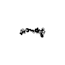 COC(=O)[C@H](Cc1ccc(OCCCC2CCN(c3nc(C(C)C)no3)CC2)cc1C)NC(=O)OC(C)(C)C